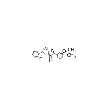 CC(C)Oc1cccc(-c2nc3ncc(-c4ccccc4F)cc3[nH]2)c1